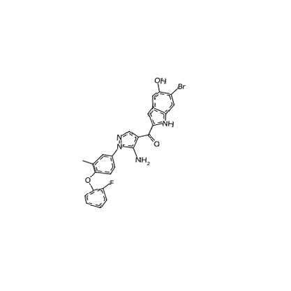 Cc1cc(-n2ncc(C(=O)c3cc4cc(O)c(Br)cc4[nH]3)c2N)ccc1Oc1ccccc1F